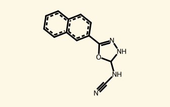 N#CNC1NN=C(c2ccc3ccccc3c2)O1